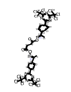 C/C(=N\OC(=O)CCC(=O)O/N=C(\C)c1ccc(-c2nc(C(Cl)(Cl)Cl)nc(C(Cl)(Cl)Cl)n2)cc1)c1ccc(-c2nc(C(Cl)(Cl)Cl)nc(C(Cl)(Cl)Cl)n2)cc1